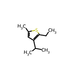 CCc1sc(C)cc1C(C)C